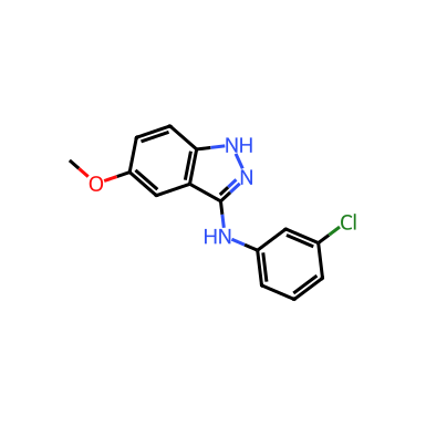 COc1ccc2[nH]nc(Nc3cccc(Cl)c3)c2c1